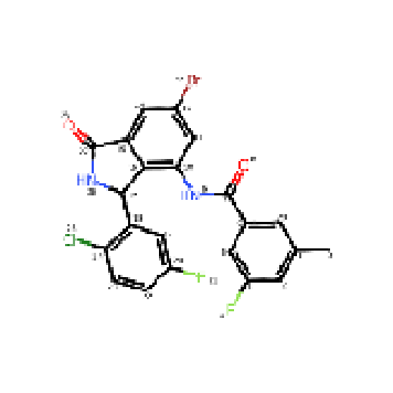 Cc1cc(F)cc(C(=O)Nc2cc(Br)cc3c2C(c2cc(F)ccc2Cl)NC3=O)c1